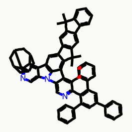 CC(C)c1c(-c2c(-c3ccccc3)cc(-c3ccccc3)cc2-c2ccccc2)ncc2c1c1c3c(cc4c5c6c(ncc5n2c41)C1CC2CC(C1)CC6C2)-c1cc2c(cc1C3(C)C)-c1ccccc1C2(C)C